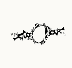 CC(C)C[C@H]1C(=O)O[C@H](Cc2ccc(Cn3nc(C4CC4)c(N)c3C3CC3)cc2)C(=O)N(C)[C@@H](CC(C)C)C(=O)O[C@H](C)C(=O)N(C)[C@@H](CC(C)C)C(=O)O[C@H](Cc2ccc(Cn3nc(C4CC4)c(N)c3C3CC3)cc2)C(=O)N(C)[C@@H](CC(C)C)C(=O)O[C@H](C)C(=O)N1C